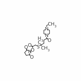 CCN1CCN(C(=O)CCC(C)(C)SCC(=O)ON2C(=O)CCC2=O)CC1